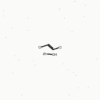 CC(C)O.Cl/C=C/Cl